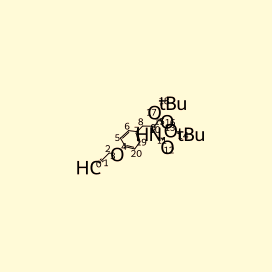 C#CCOc1ccc(CC(NC(=O)OC(C)(C)C)C(=O)OC(C)(C)C)cc1